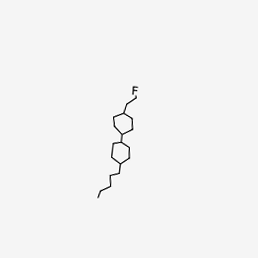 CCCCCC1CCC(C2CCC(CCF)CC2)CC1